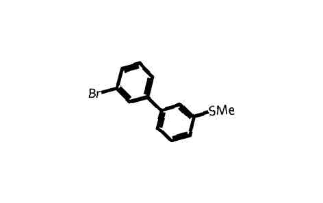 CSc1cccc(-c2cccc(Br)c2)c1